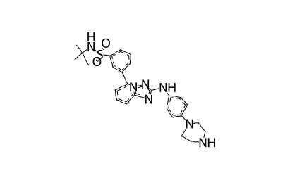 CC(C)(C)NS(=O)(=O)c1cccc(-c2cccc3nc(Nc4ccc(N5CCNCC5)cc4)nn23)c1